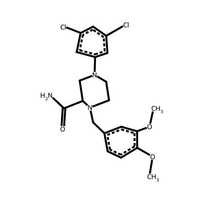 COc1ccc(CN2CCN(c3cc(Cl)cc(Cl)c3)CC2C(N)=O)cc1OC